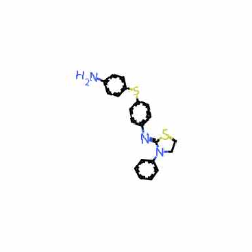 Nc1ccc(Sc2ccc(/N=C3\SCCN3c3ccccc3)cc2)cc1